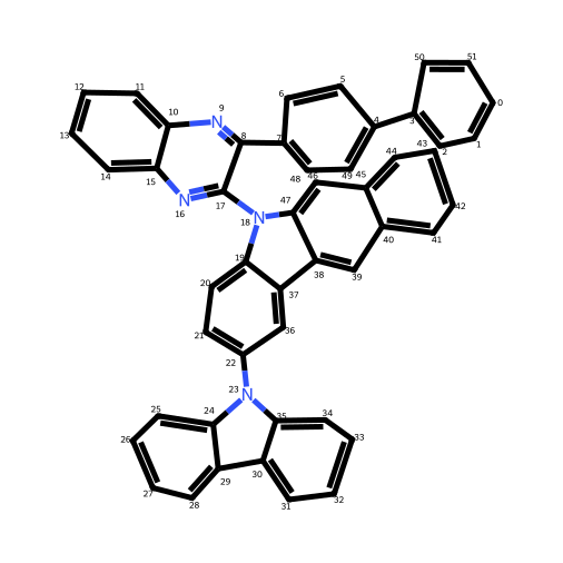 c1ccc(-c2ccc(-c3nc4ccccc4nc3-n3c4ccc(-n5c6ccccc6c6ccccc65)cc4c4cc5ccccc5cc43)cc2)cc1